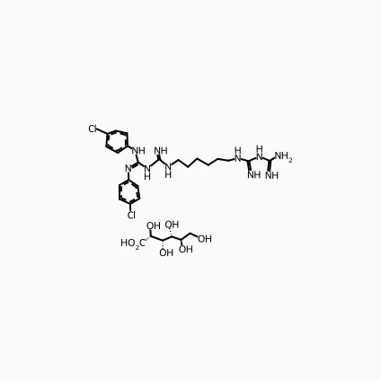 N=C(N)NC(=N)NCCCCCCNC(=N)NC(=Nc1ccc(Cl)cc1)Nc1ccc(Cl)cc1.O=C(O)[C@H](O)[C@@H](O)[C@H](O)[C@H](O)CO